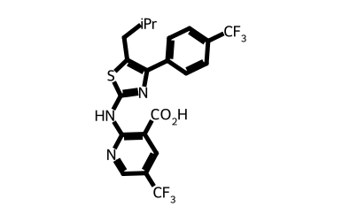 CC(C)Cc1sc(Nc2ncc(C(F)(F)F)cc2C(=O)O)nc1-c1ccc(C(F)(F)F)cc1